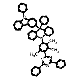 Cc1cc(N2c3ccccc3C(c3ccccc3)(c3ccc4c(c3)c3ccccc3n4-c3ccccc3)c3ccccc32)c(C)c(C)c1-c1nc(-c2ccccc2)nc(-c2ccccc2)n1